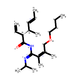 C=C[C@@H](C(=O)NC(=N/C(C)C)/C(C)=C(/C)COCCCC)C(C)/C=C/C